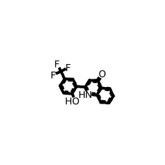 O=c1cc(-c2cc(C(F)(F)F)ccc2O)[nH]c2ccccc12